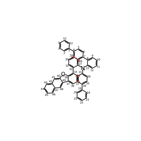 c1ccc(-c2ccc(-c3ccccc3N(c3ccc(-c4ccccc4)cc3)c3ccccc3-c3cccc4c3oc3cc5ccccc5cc34)cc2)cc1